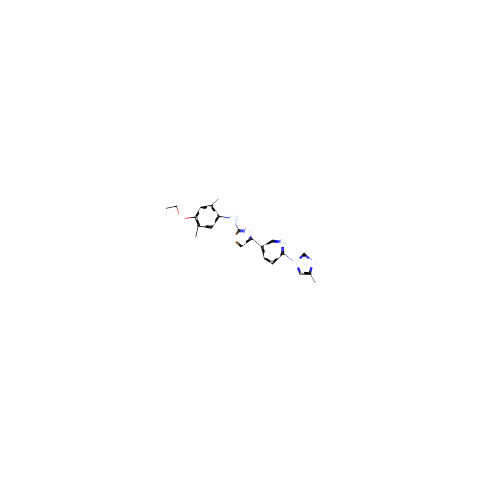 CCOc1cc(C)c(Nc2nc(-c3ccc(-n4cnc(C)c4)nc3)cs2)cc1C